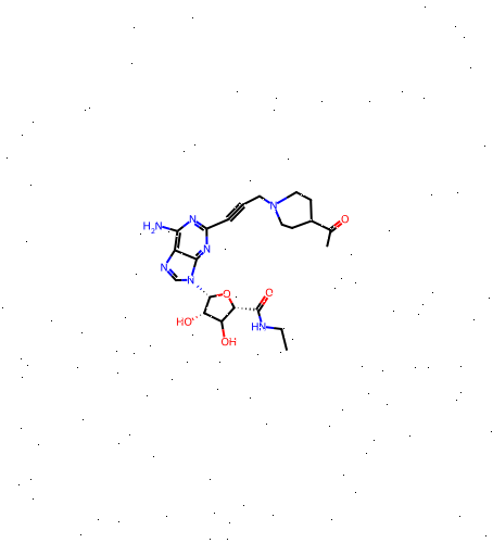 CCNC(=O)[C@H]1O[C@@H](n2cnc3c(N)nc(C#CCN4CCC(C(C)=O)CC4)nc32)[C@@H](O)C1O